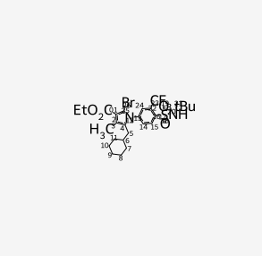 CCOC(=O)c1c(C)c(CC2CCCCC2)n(-c2ccc(S(=O)(=O)NC(C)(C)C)c(C(F)(F)F)c2)c1Br